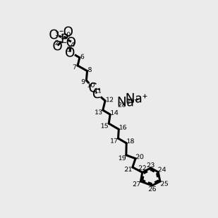 O=P([O-])([O-])OOCCCCCCCCCCCCCCCCc1ccccc1.[Na+].[Na+]